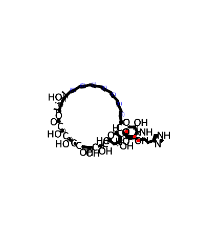 C[C@@H]1[C@H](O)[C@@H](C)/C=C/C=C/C=C/C=C/C=C/C=C/C=C/[C@H](OC2O[C@H](O)[C@@H](O)[C@H](N)[C@@H]2O)C[C@@H]2O[C@](O)(C[C@@H](O)C[C@@H](O)[C@H](O)CC[C@@H](O)C[C@@H](O)CC(=O)O[C@H]1C)C[C@H](O)[C@H]2C(=O)CCCCCc1c[nH]cn1